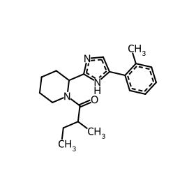 CCC(C)C(=O)N1CCCCC1c1ncc(-c2ccccc2C)[nH]1